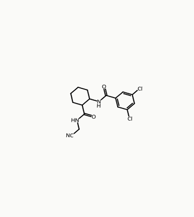 N#CCNC(=O)C1CCCCC1NC(=O)c1cc(Cl)cc(Cl)c1